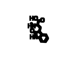 CNC(CC1C(=O)Nc2ccccc21)C(=O)O